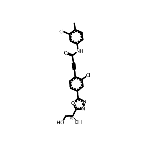 Cc1ccc(NC(=O)C#Cc2ccc(-c3nnc([C@H](O)CO)o3)cc2Cl)cc1Cl